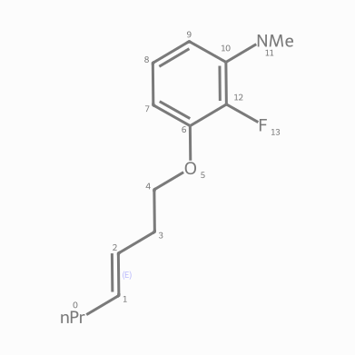 CCC/C=C/CCOc1cccc(NC)c1F